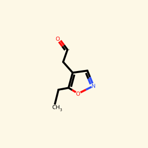 CCc1oncc1C[C]=O